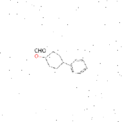 O=COC1CCC(c2ccccc2)CC1